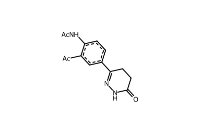 CC(=O)Nc1ccc(C2=NNC(=O)CC2)cc1C(C)=O